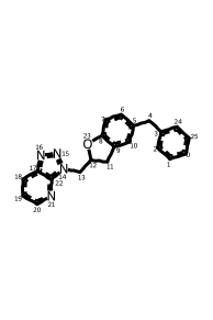 c1ccc(Cc2ccc3c(c2)CC(Cn2nnc4cccnc42)O3)cc1